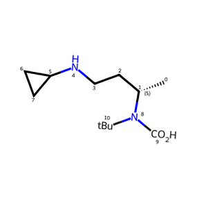 C[C@@H](CCNC1CC1)N(C(=O)O)C(C)(C)C